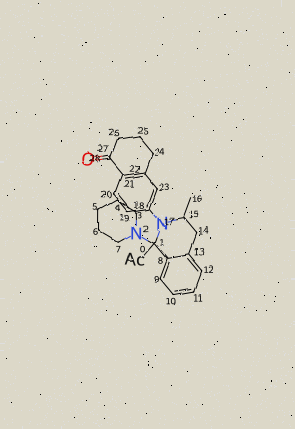 CC(=O)C1(N2CCCCC2)c2ccccc2CC(C)N1c1ccc2c(c1)CCCC2=O